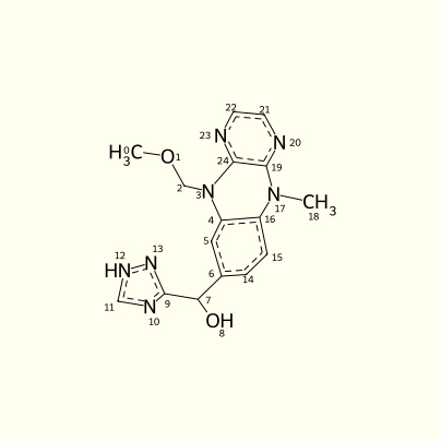 COCN1c2cc(C(O)c3nc[nH]n3)ccc2N(C)c2nccnc21